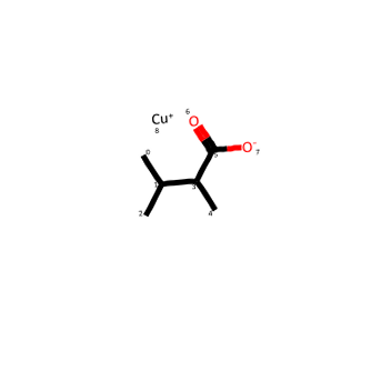 CC(C)C(C)C(=O)[O-].[Cu+]